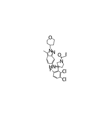 C=CC(=O)N1CC[C@](Nc2ccc3c(C)n(C4CCOCC4)nc3c2)(c2c(F)ccc(Cl)c2Cl)C1